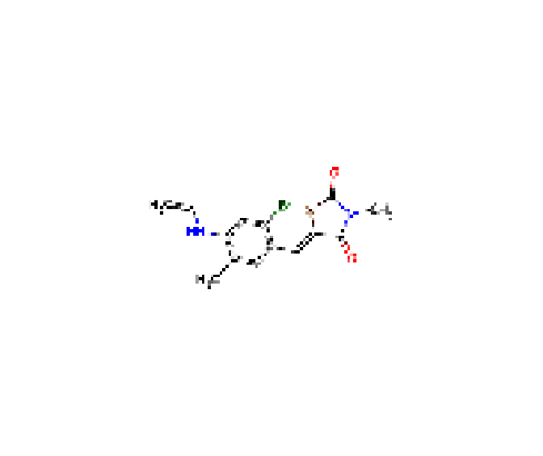 C=CNc1cc(Br)c(/C=C2\SC(=O)N(C)C2=O)cc1C